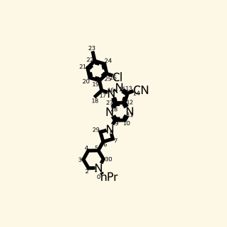 CCCN1CCCC(C2CN(c3cnc4c(C#N)nn(C(C)c5ccc(C)cc5Cl)c4n3)C2)C1